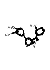 COc1ccc(-c2cnc3[nH]cc(-c4cccc(N)c4)c3c2)cc1OC